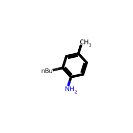 CCCCc1cc(C)ccc1N